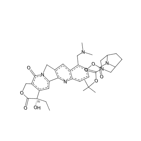 CC[C@@]1(O)C(=O)OCc2c1cc1n(c2=O)Cc2cc3c(CN(C)C)c(OC(=O)N4C5CCC4CN(C(=O)OC(C)(C)C)C5)ccc3nc2-1